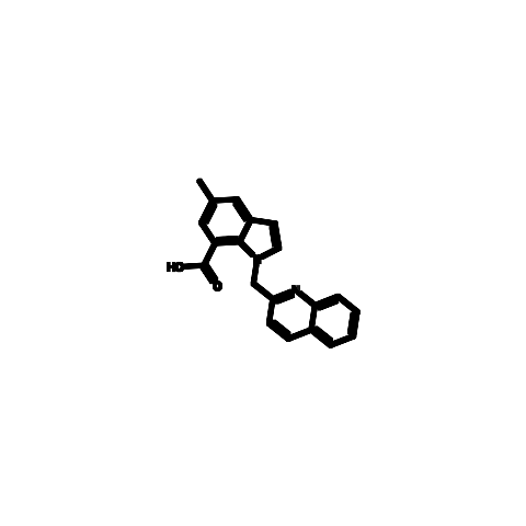 Cc1cc(C(=O)O)c2c(ccn2Cc2ccc3ccccc3n2)c1